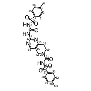 Cc1ccc(S(=O)(=O)NC(=O)Nc2ncc3c(n2)CCN(C(=O)NS(=O)(=O)c2ccc(C)cc2)C3)cc1